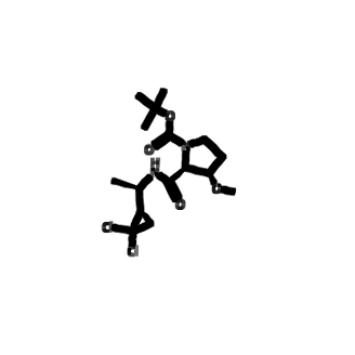 CO[C@@H]1CCN(C(=O)OC(C)(C)C)[C@@H]1C(=O)N[C@H](C)[C@H]1CC1(Cl)Cl